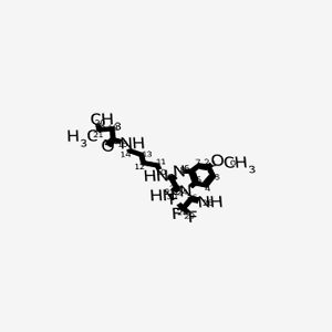 COc1ccc2c(c1)nc(NCCCCNC(=O)CC(C)C)c(=N)n2C(=N)C(F)(F)F